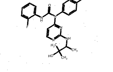 COc1ccc(N(C(=O)Nc2ccccc2F)c2ccnc(NC(C)C(C)(C)O)n2)cc1